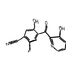 N#Cc1cc(O)c(C(=O)c2ncccc2O)cc1F